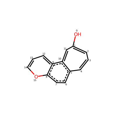 OC1=CC=Cc2ccc3c(c2=C1)=CC=CO3